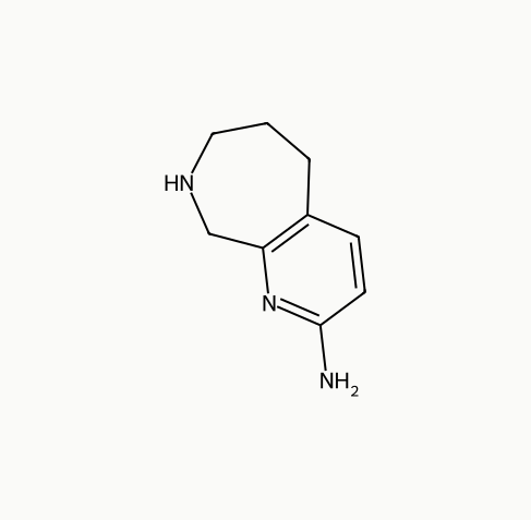 Nc1ccc2c(n1)CNCCC2